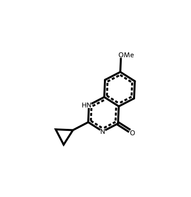 COc1ccc2c(=O)nc(C3CC3)[nH]c2c1